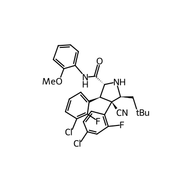 COc1ccccc1NC(=O)[C@@H]1N[C@@H](CC(C)(C)C)[C@](C#N)(c2ccc(Cl)cc2F)[C@H]1c1cccc(Cl)c1F